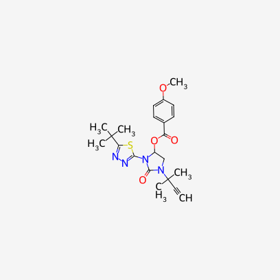 C#CC(C)(C)N1CC(OC(=O)c2ccc(OC)cc2)N(c2nnc(C(C)(C)C)s2)C1=O